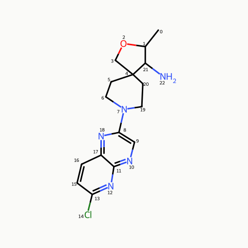 CC1OCC2(CCN(c3cnc4nc(Cl)ccc4n3)CC2)C1N